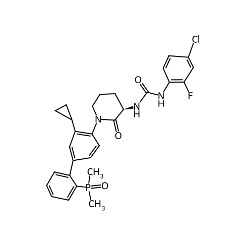 CP(C)(=O)c1ccccc1-c1ccc(N2CCC[C@@H](NC(=O)Nc3ccc(Cl)cc3F)C2=O)c(C2CC2)c1